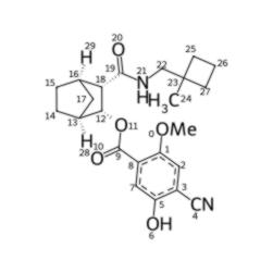 COc1cc(C#N)c(O)cc1C(=O)O[C@@H]1[C@H]2CC[C@H](C2)[C@@H]1C(=O)NCC1(C)CCC1